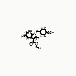 CCOC(=O)c1c(C)n(CC2CCC(O)CC2)c2ncc(F)cc12